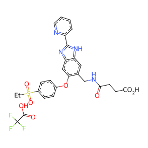 CCS(=O)(=O)c1ccc(Oc2cc3nc(-c4ccccn4)[nH]c3cc2CNC(=O)CCC(=O)O)cc1.O=C(O)C(F)(F)F